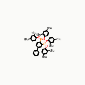 CC(C)(C)c1ccc(OP(Oc2ccc(C(C)(C)C)cc2C(C)(C)C)c2ccc(-c3ccccc3)cc2P(Oc2ccc(C(C)(C)C)cc2C(C)(C)C)Oc2ccc(C(C)(C)C)cc2C(C)(C)C)c(C(C)(C)C)c1